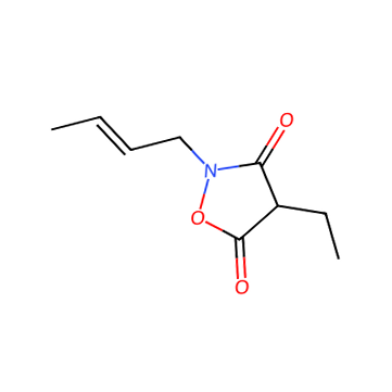 CC=CCN1OC(=O)C(CC)C1=O